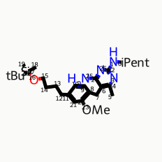 CCCC(C)Nc1nc(C)c(Cc2ccc(CCCCO[Si](C)(C)C(C)(C)C)cc2OC)c(N)n1